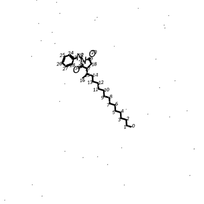 CCCCCCCCCCCCCCCC(C)C1CC(=O)N([N]c2ccccc2)C1=O